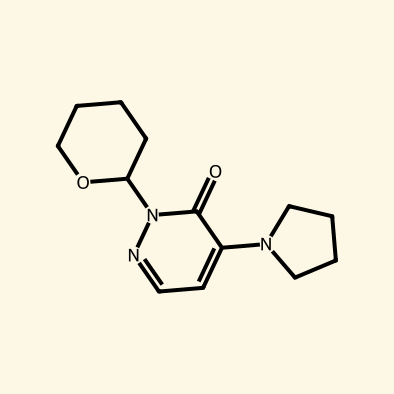 O=c1c(N2CCCC2)ccnn1C1CCCCO1